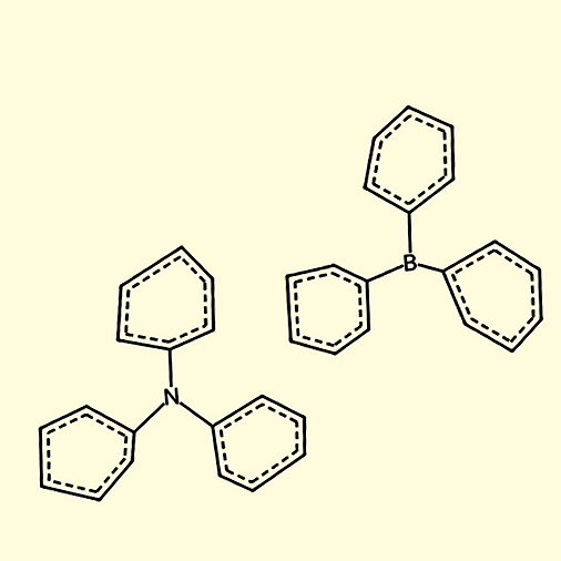 c1ccc(B(c2ccccc2)c2ccccc2)cc1.c1ccc(N(c2ccccc2)c2ccccc2)cc1